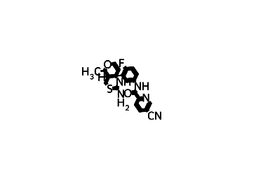 C[C@H]1OC=C[C@]2(c3cc(NC(=O)c4ccc(C#N)cn4)ccc3F)NC(N)SC[C@H]12